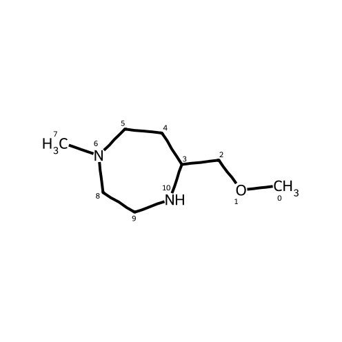 COCC1CCN(C)CCN1